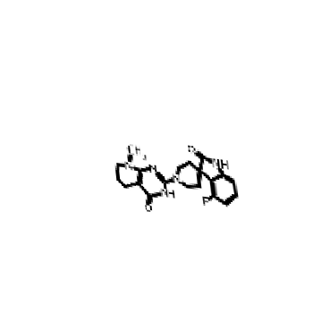 CN1CCCc2c1nc(N1CCC3(CC1)C(=O)Nc1cccc(F)c13)[nH]c2=O